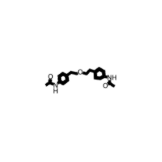 CC(=O)Nc1ccc(CCOCCc2ccc(NC(C)=O)cc2)cc1